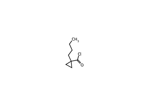 CCCCC1(C(=O)Cl)CC1